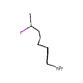 [CH2]C(I)CCCCCCC